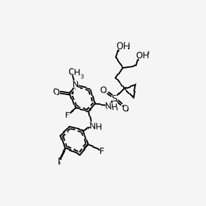 Cn1cc(NS(=O)(=O)C2(CC(CO)CO)CC2)c(Nc2ccc(I)cc2F)c(F)c1=O